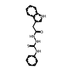 O=C(Cc1c[nH]c2ccccc12)NNC(=S)Nc1ccccc1